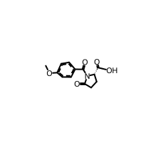 COc1ccc(C(=O)N2C(=O)CC[C@H]2C(=O)O)cc1